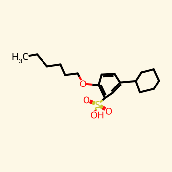 CCCCCCOc1ccc(C2CCCCC2)cc1S(=O)(=O)O